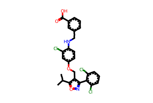 CC(C)c1onc(-c2c(Cl)cccc2Cl)c1COc1ccc(NCc2cccc(C(=O)O)c2)c(Cl)c1